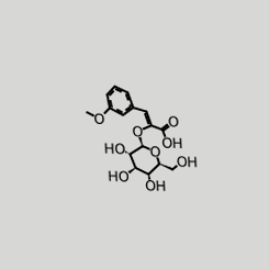 COc1cccc(/C=C(\O[C@H]2O[C@@H](CO)[C@@H](O)[C@@H](O)[C@@H]2O)C(=O)O)c1